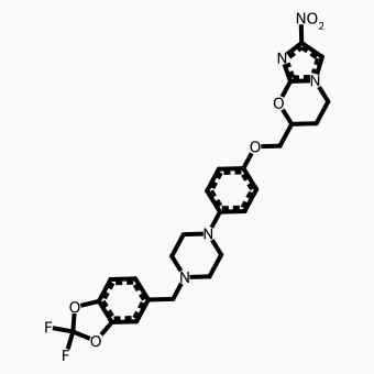 O=[N+]([O-])c1cn2c(n1)OC(COc1ccc(N3CCN(Cc4ccc5c(c4)OC(F)(F)O5)CC3)cc1)CC2